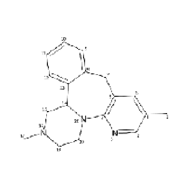 Cc1cnc2c(c1)Cc1ccccc1C1CN(C)CCN21